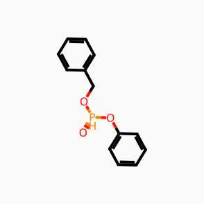 O=[PH](OCc1ccccc1)Oc1ccccc1